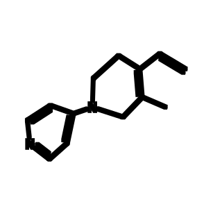 C=CC1=C(C)CN(c2ccncc2)CC1